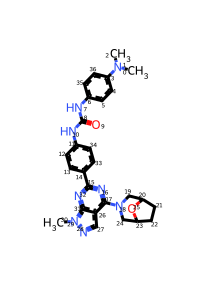 CN(C)c1ccc(NC(=O)Nc2ccc(-c3nc(N4CC5CCC(C4)O5)c4cnn(C)c4n3)cc2)cc1